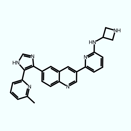 Cc1cccc(-c2[nH]cnc2-c2ccc3ncc(-c4cccc(NC5CNC5)n4)cc3c2)n1